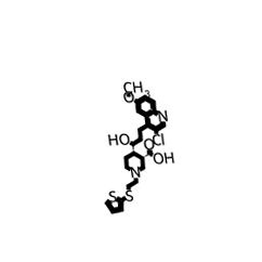 COc1ccc2ncc(Cl)c(CCC(O)[C@H]3CCN(CCSc4cccs4)C[C@H]3C(=O)O)c2c1